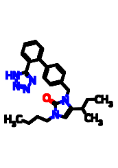 CCCCn1cc(C(C)CC)n(Cc2ccc(-c3ccccc3-c3nnn[nH]3)cc2)c1=O